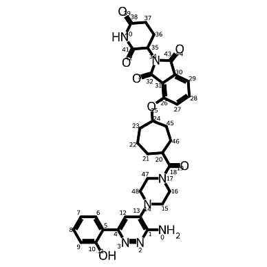 Nc1nnc(-c2ccccc2O)cc1N1CCN(C(=O)C2CCCC(Oc3cccc4c3C(=O)N(C3CCC(=O)NC3=O)C4=O)CC2)CC1